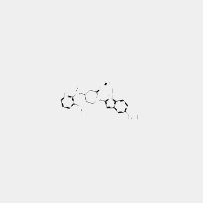 CCOc1cccnc1N(C)C1CCN(c2cc3cc(N)ccc3[nH]2)C(=C=O)C1